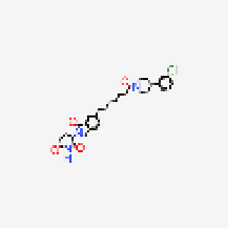 O=C1CCC(N2Cc3ccc(CCCCCCC(=O)N4CCC(c5cccc(Cl)c5)CC4)cc3C2=O)C(=O)N1